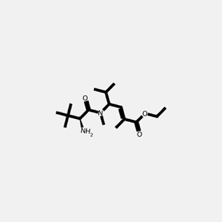 CCOC(=O)C(C)=CC(C(C)C)N(C)C(=O)[C@@H](N)C(C)(C)C